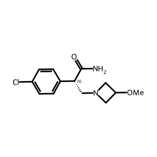 COC1CN(C[C@@H](C(N)=O)c2ccc(Cl)cc2)C1